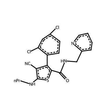 CCCNc1sc(C(=O)NCc2ccccn2)c(-c2ccc(Cl)cc2Cl)c1C#N